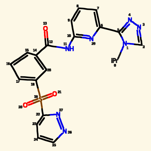 CC(C)n1cnnc1-c1cccc(NC(=O)c2cccc(S(=O)(=O)c3cccnn3)c2)n1